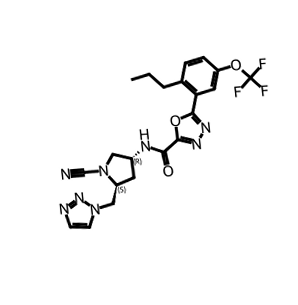 CCCc1ccc(OC(F)(F)F)cc1-c1nnc(C(=O)N[C@@H]2C[C@@H](Cn3ccnn3)N(C#N)C2)o1